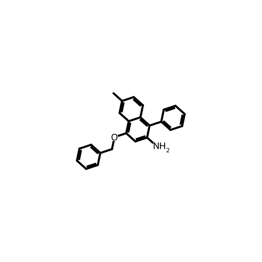 Cc1ccc2c(-c3ccccc3)c(N)cc(OCc3ccccc3)c2c1